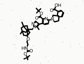 Cc1c(-c2ccc(N3CCc4cccc(C(=O)O)c4C3)nc2C(=O)OC(C)(C)C)cnn1CC12CC3(C)CC(C)(C1)CC(OCCNC(=O)OC(C)(C)C)(C3)C2